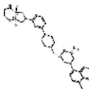 C[C@@H]1CN(c2ccc(C#N)c3ncccc23)C[C@H](CN2CCN(c3ccnc(N4C[C@H]5NCCO[C@@H]5C4)n3)CC2)O1